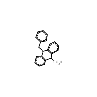 O=C(O)C1c2ccccc2N(Cc2ccccc2)c2ccccc21